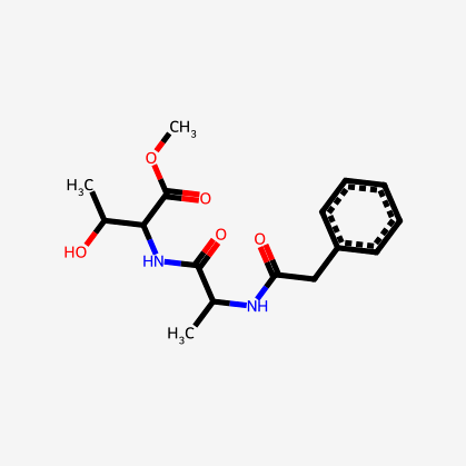 COC(=O)C(NC(=O)C(C)NC(=O)Cc1ccccc1)C(C)O